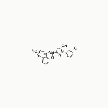 O=C(O)C[C@H](NC(=O)c1cc(O)n(-c2cccc(Cl)c2)n1)c1ccccc1Br